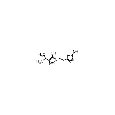 CC(C)c1ns[n+](CCc2cc(O)ns2)c1O